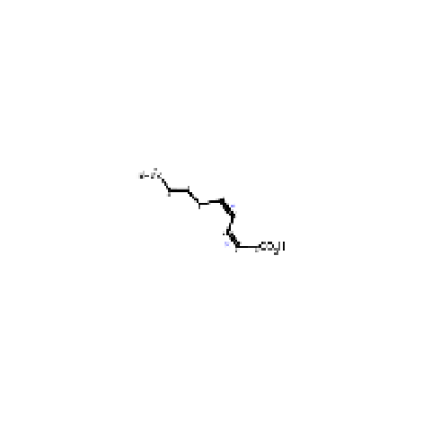 CCCCCCCCC/C=C\C=C/C(=O)O